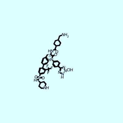 Cl.NCC1CCC(C(=O)N[C@@H](Cc2ccc(-c3ccc(S(=O)(=O)NC4CCNCC4)cc3C(F)(F)F)cc2)C(=O)Nc2ccc(-c3nn[nH]n3)cc2)CC1